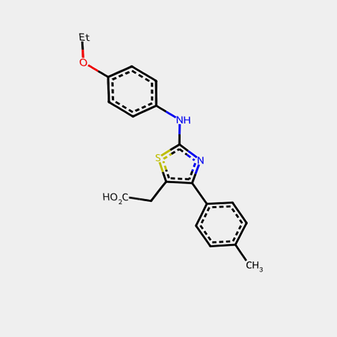 CCOc1ccc(Nc2nc(-c3ccc(C)cc3)c(CC(=O)O)s2)cc1